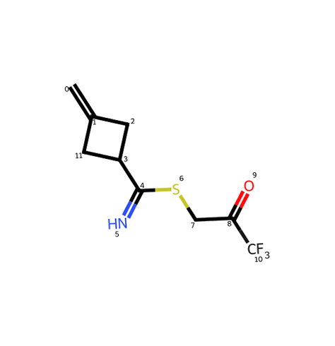 C=C1CC(C(=N)SCC(=O)C(F)(F)F)C1